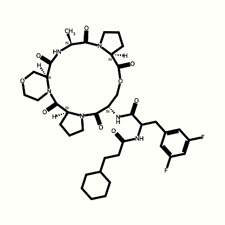 C[C@@H]1NC(=O)[C@@H]2COCCN2C(=O)[C@@H]2CCCN2C(=O)[C@@H](NC(=O)C(Cc2cc(F)cc(F)c2)NC(=O)CCC2CCCCC2)COC(=O)[C@@H]2CCCN2C1=O